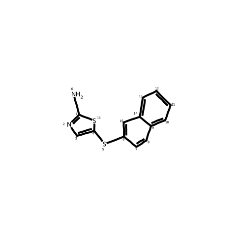 Nc1ncc(Sc2ccc3ccccc3c2)s1